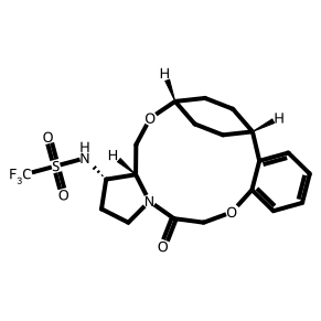 O=C1COc2ccccc2[C@H]2CC[C@H](CC2)OC[C@H]2[C@@H](NS(=O)(=O)C(F)(F)F)CCN12